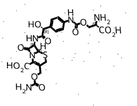 NC(=O)OCC1=C(C(=O)O)N2C(=O)[C@@H](NC(=O)[C@H](O)c3ccc(NC(=O)OC[C@@H](N)C(=O)O)cc3)[C@H]2SC1